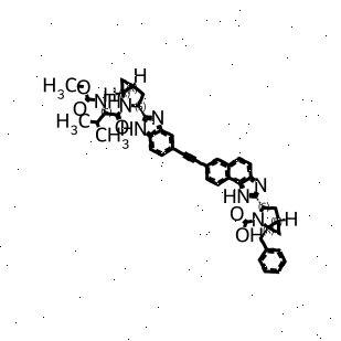 COC(=O)N[C@H](C(=O)N1[C@@H]2C[C@@H]2C[C@H]1c1nc2cc(C#Cc3ccc4c(ccc5nc([C@@H]6C[C@@H]7C[C@]7(Cc7ccccc7)N6C(=O)O)[nH]c54)c3)ccc2[nH]1)C(C)C